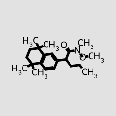 CCCC(C(=O)N(C)OC)c1ccc2c(c1)C(C)(C)CCC2(C)C